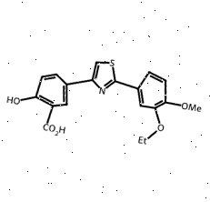 CCOc1cc(-c2nc(-c3ccc(O)c(C(=O)O)c3)cs2)ccc1OC